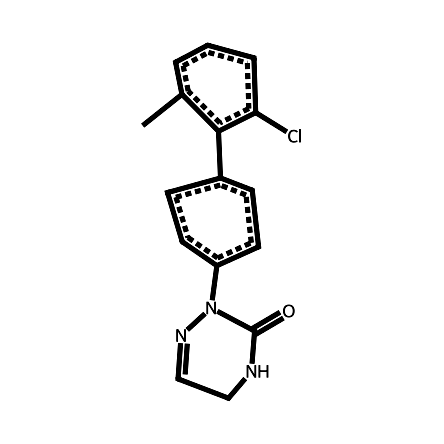 Cc1cccc(Cl)c1-c1ccc(N2N=CCNC2=O)cc1